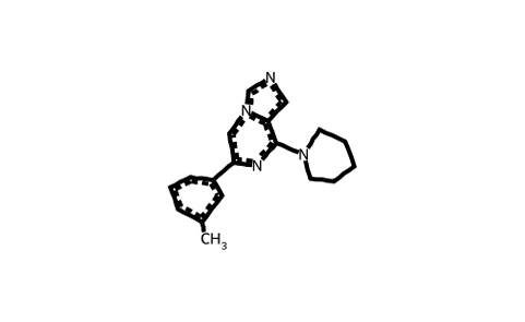 Cc1cccc(-c2cn3cncc3c(N3CCCCC3)n2)c1